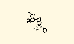 CCN(Cc1ccccc1C1=CC(CC(=O)O)C(Cl)(C(F)(F)F)C=C1)C(=O)OCc1ccccc1